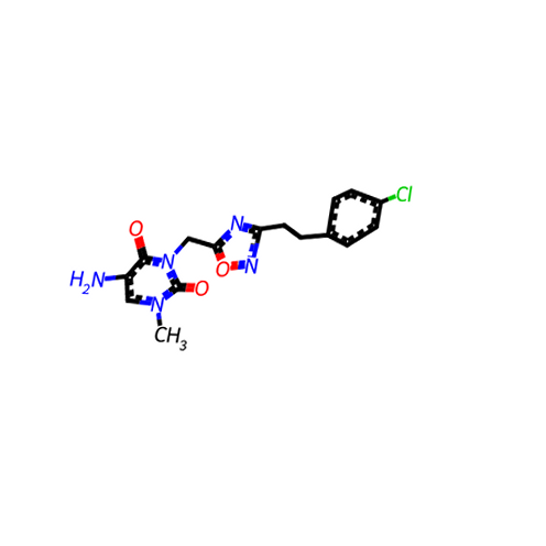 Cn1cc(N)c(=O)n(Cc2nc(CCc3ccc(Cl)cc3)no2)c1=O